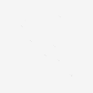 CN1C=C(c2ccc3c(ccn3C)n2)C(c2ccc(C#N)cc2)=NC1N1CCC(N)CC1